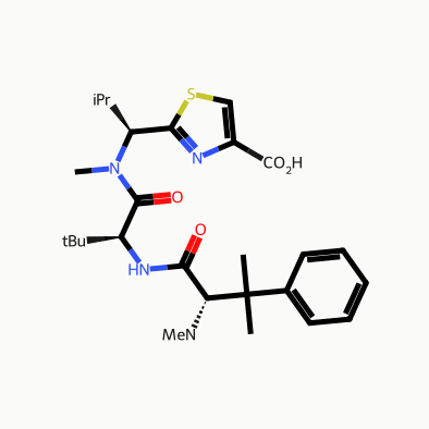 CN[C@H](C(=O)N[C@H](C(=O)N(C)[C@H](c1nc(C(=O)O)cs1)C(C)C)C(C)(C)C)C(C)(C)c1ccccc1